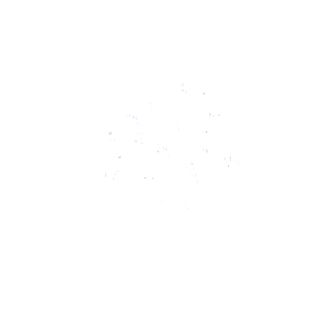 CN(c1ccccc1)c1ncnc2cnc(S(C)(=O)=O)nc12